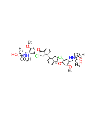 CCOc1cc(O[C@H]2CCc3c(-c4cccc5c4CC[C@@H]5Oc4cc(OCC)c(CN[C@@](C)(CO)C(=O)O)cc4Cl)cccc32)c(Cl)cc1CN[C@@](C)(CO)C(=O)O